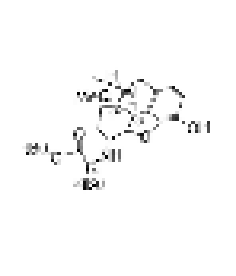 CC[C@H](C)[C@H](NC1CC[C@@]2(OC)[C@H]3Cc4ccc(O)c5c4[C@@]2(CCN3C)C1O5)C(=O)OC(C)(C)C